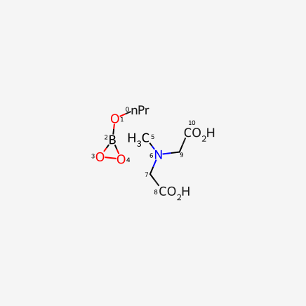 CCCOB1OO1.CN(CC(=O)O)CC(=O)O